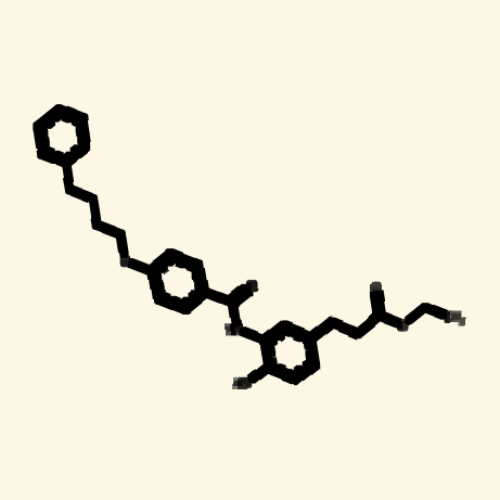 CCOC(=O)CCc1ccc(O)c(NC(=O)c2ccc(OCCCCc3ccccc3)cc2)c1